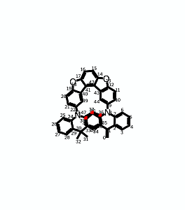 C=C1c2ccccc2N(c2ccc3oc4ccc5oc6ccc(N7c8ccccc8C(C)(C)c8ccccc87)cc6c5c4c3c2)c2ccccc21